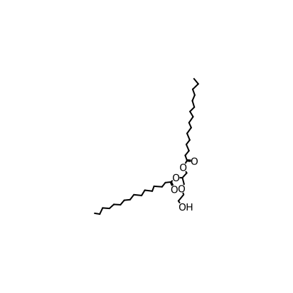 CCCCCCCCCCCCCCCC(=O)OCC(COCCO)OC(=O)CCCCCCCCCCCCCCC